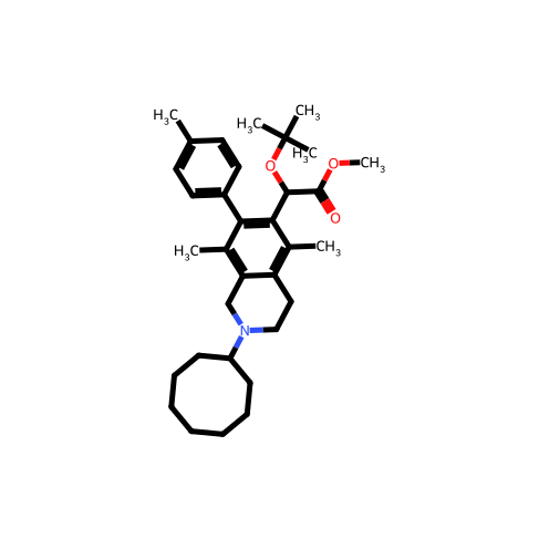 COC(=O)C(OC(C)(C)C)c1c(C)c2c(c(C)c1-c1ccc(C)cc1)CN(C1CCCCCCC1)CC2